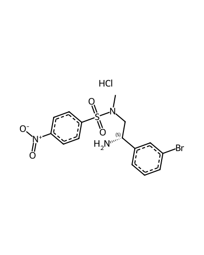 CN(C[C@@H](N)c1cccc(Br)c1)S(=O)(=O)c1ccc([N+](=O)[O-])cc1.Cl